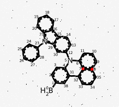 Bc1ccc(N(c2ccccc2)c2ccc3c4ccccc4n(-c4ccccc4)c3c2)c(-c2ccccc2)c1